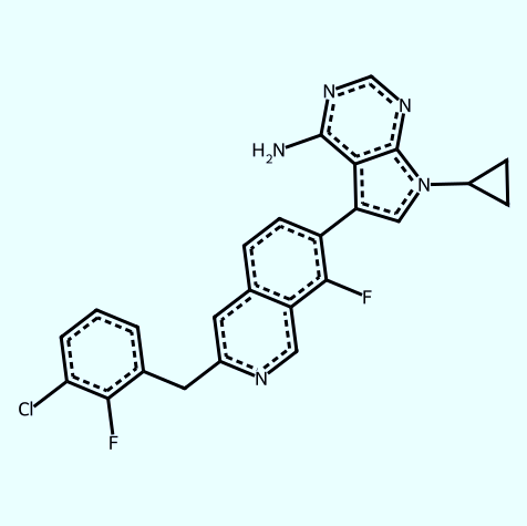 Nc1ncnc2c1c(-c1ccc3cc(Cc4cccc(Cl)c4F)ncc3c1F)cn2C1CC1